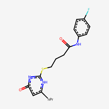 CCCc1cc(=O)nc(SCCCC(=O)Nc2ccc(F)cc2)[nH]1